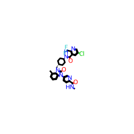 CNC(=O)c1ccc(-n2c(=O)n(C[C@H]3CC[C@H](NC(=O)c4cc(Cl)cnc4C(F)F)CC3)c3c(C)cccc32)cn1